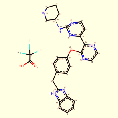 O=C(O)C(F)(F)F.c1ccc2[nH]c(Cc3ccc(Oc4nccnc4-c4ccnc(N[C@H]5CCCNC5)n4)cc3)nc2c1